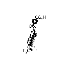 O=C(O)c1ccc(C(=O)OCCC(F)(F)C(F)(F)C(F)(F)C(F)(F)C(F)(F)C(F)(F)OC(F)(C(F)(F)F)C(F)(F)F)cc1